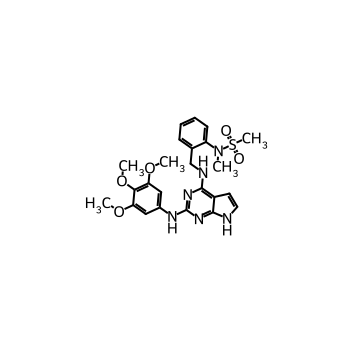 COc1cc(Nc2nc(NCc3ccccc3N(C)S(C)(=O)=O)c3cc[nH]c3n2)cc(OC)c1OC